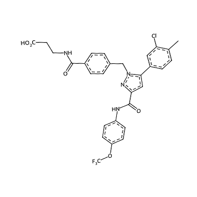 Cc1ccc(-c2cc(C(=O)Nc3ccc(OC(F)(F)F)cc3)nn2Cc2ccc(C(=O)NCCC(=O)O)cc2)cc1Cl